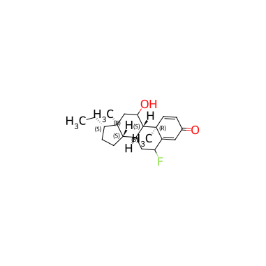 CC[C@H]1CC[C@H]2[C@@H]3CC(F)C4=CC(=O)C=C[C@]4(C)[C@H]3C(O)C[C@]12C